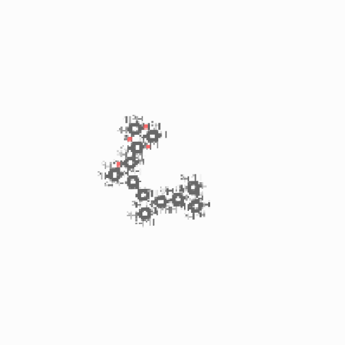 [2H]c1c([2H])c([2H])c(N(c2ccc(-c3ccc(N(c4c([2H])c([2H])c([2H])c([2H])c4[2H])c4c([2H])c([2H])c(-c5c([2H])c([2H])c(N(c6c([2H])c([2H])c([2H])c([2H])c6[2H])c6c([2H])c([2H])c([2H])c([2H])c6[2H])c([2H])c5[2H])c([2H])c4[2H])cc3)cc2)c2c([2H])c([2H])c(-c3c([2H])c([2H])c(N(c4c([2H])c([2H])c([2H])c([2H])c4[2H])c4c([2H])c([2H])c([2H])c([2H])c4[2H])c([2H])c3[2H])c([2H])c2[2H])c([2H])c1[2H]